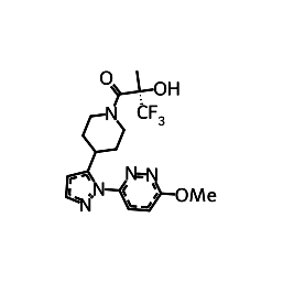 COc1ccc(-n2nccc2C2CCN(C(=O)[C@@](C)(O)C(F)(F)F)CC2)nn1